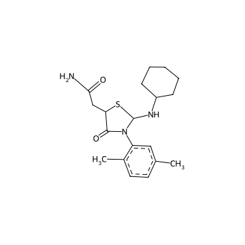 Cc1ccc(C)c(N2C(=O)C(CC(N)=O)SC2NC2CCCCC2)c1